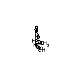 COCCn1c(Cc2cc(F)c(-c3cccc(OCc4cnn(-c5ccccc5)c4)n3)cc2F)nc2ccc(C(=O)O)cc21